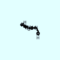 CN1CCC[C@@H]1c1cc2cnc(NC(=O)c3ccc(-c4cnn(CCCC5CCNCC5)c4)cc3)cc2[nH]1